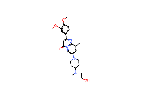 COc1ccc(-c2cc(=O)n3cc(N4CCC(N(C)CCO)CC4)cc(C)c3n2)cc1OC